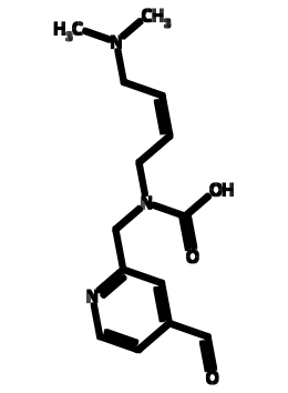 CN(C)C/C=C\CN(Cc1cc(C=O)ccn1)C(=O)O